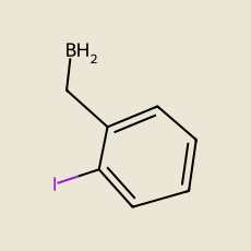 BCc1ccccc1I